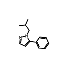 CC(C)Cn1nccc1-c1ccccc1